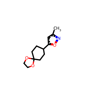 Cc1cc(C2CCC3(CC2)OCCO3)on1